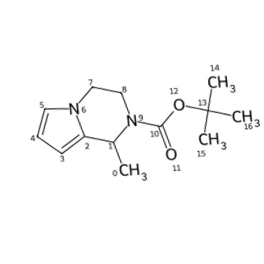 CC1c2cccn2CCN1C(=O)OC(C)(C)C